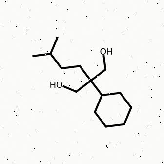 CC(C)CCC(CO)(CO)C1CCCCC1